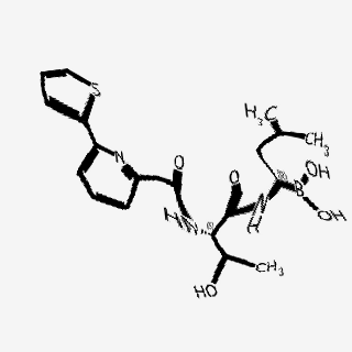 CC(C)C[C@H](NC(=O)[C@@H](NC(=O)c1cccc(-c2cccs2)n1)C(C)O)B(O)O